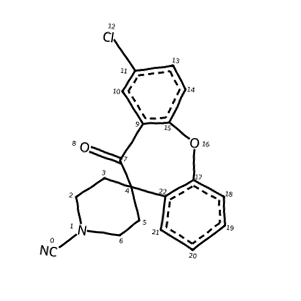 N#CN1CCC2(CC1)C(=O)c1cc(Cl)ccc1Oc1ccccc12